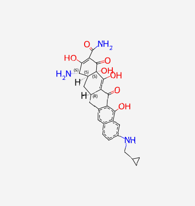 NC(=O)C1=C(O)[C@@H](N)[C@@H]2C[C@@H]3Cc4cc5ccc(NCC6CC6)cc5c(O)c4C(=O)C3=C(O)[C@]2(O)C1=O